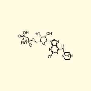 O=P(O)(O)CP(=O)(O)OC[C@H]1O[C@@H](n2cnc3c(NC4CN5CCN4CC5)nc(Cl)nc32)[C@@H](O)[C@H]1O